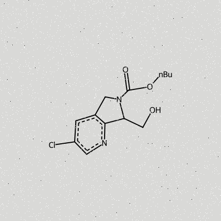 CCCCOC(=O)N1Cc2cc(Cl)cnc2C1CO